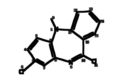 CN1c2ccc(Cl)cc2N=C(Cl)c2ccccc21